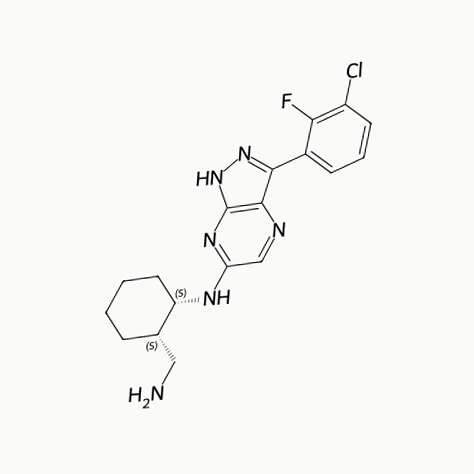 NC[C@@H]1CCCC[C@@H]1Nc1cnc2c(-c3cccc(Cl)c3F)n[nH]c2n1